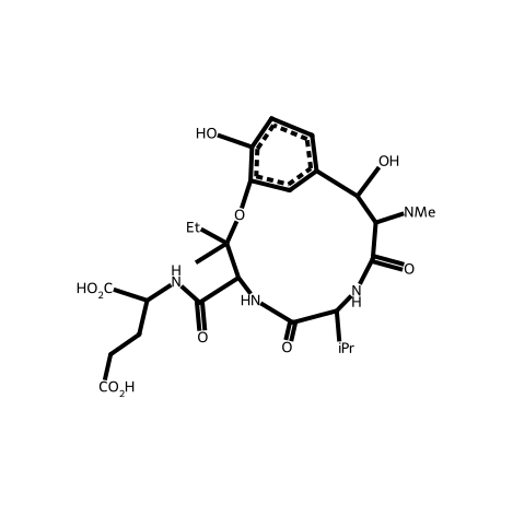 CCC1(C)Oc2cc(ccc2O)C(O)C(NC)C(=O)NC(C(C)C)C(=O)NC1C(=O)NC(CCC(=O)O)C(=O)O